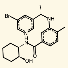 Cc1ccc(C(=O)N[C@H]2CCCC[C@@H]2O)cc1N[C@@H](C)c1cncc(Br)c1